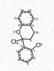 Clc1ccccc1C1(Cl)CCc2ccccc2O1